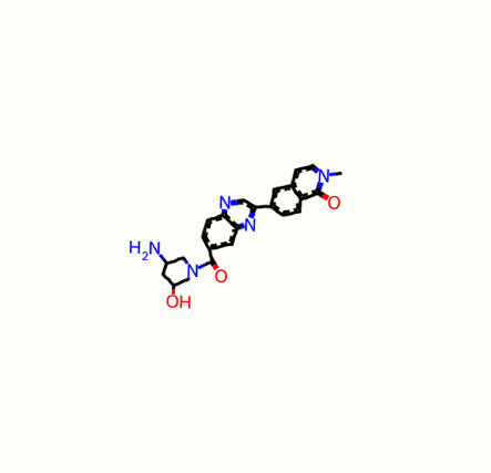 Cn1ccc2cc(-c3cnc4ccc(C(=O)N5CC(N)CC(O)C5)cc4n3)ccc2c1=O